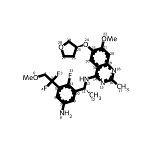 COCC(F)(F)c1cc(N)cc([C@@H](C)Nc2nc(C)nc3cc(OC)c(O[C@H]4CCOC4)cc23)c1F